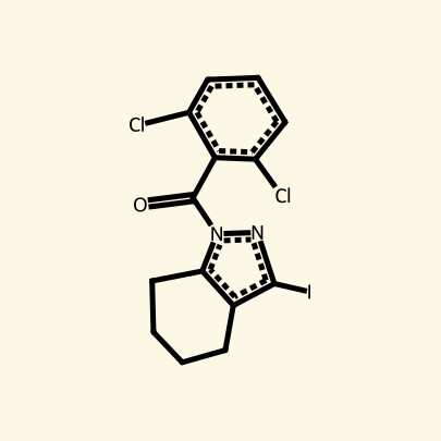 O=C(c1c(Cl)cccc1Cl)n1nc(I)c2c1CCCC2